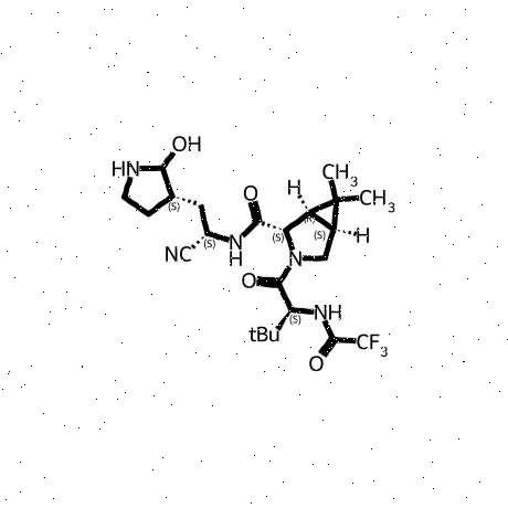 CC(C)(C)[C@H](NC(=O)C(F)(F)F)C(=O)N1C[C@H]2[C@@H]([C@H]1C(=O)N[C@H](C#N)C[C@@H]1CCNC1O)C2(C)C